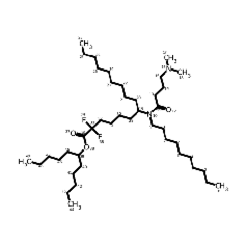 CCCCCCCCCCN(C(=O)CCCN(C)C)C(CCCCCCCCC)CCCCC(F)(F)C(=O)OC(CCCCC)CCCCC